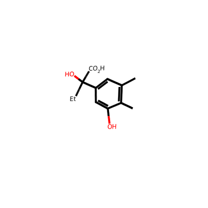 CCC(O)(C(=O)O)c1cc(C)c(C)c(O)c1